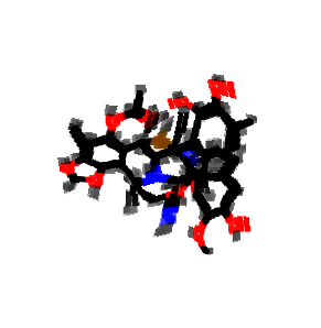 COc1cc2c(cc1O)CCN[C@]21CS[C@@H]2c3c(OC(C)=O)c(C)c4c(c3[C@H](COC1=O)N1C2[C@@H]2c3c(cc(C)c(O)c3O)C[C@H]([C@@H]1C#N)N2C)OCO4